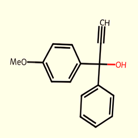 C#CC(O)(c1ccccc1)c1ccc(OC)cc1